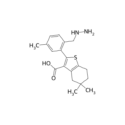 Cc1ccc(CNN)c(-c2sc3c(c2C(=O)O)CC(C)(C)CC3)c1